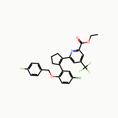 CCOC(=O)c1cc(C(F)(F)F)cc(C2=C(c3cc(Cl)ccc3OCc3ccc(F)cc3)CCC2)n1